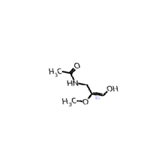 CO/C(=C/O)CNC(C)=O